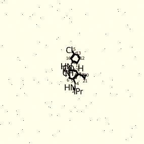 CC(=O)O.CC(C)NCc1cnc(Nc2cccc(Cl)c2)cc1C1CC1